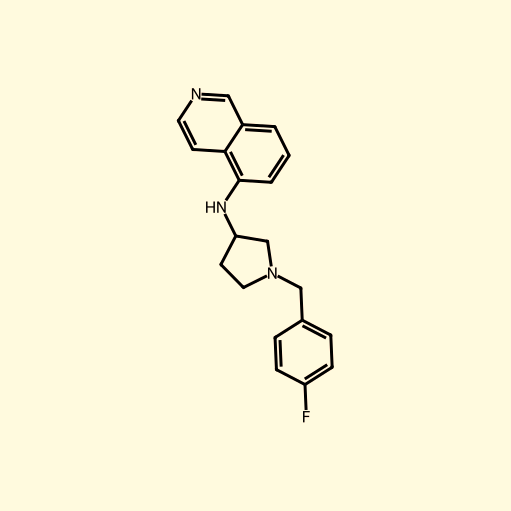 Fc1ccc(CN2CCC(Nc3cccc4cnccc34)C2)cc1